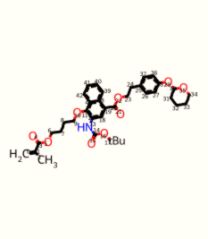 C=C(C)C(=O)OCCCCOc1c(NC(=O)OC(C)(C)C)cc(C(=O)OCCc2ccc(OC3CCCCO3)cc2)c2ccccc12